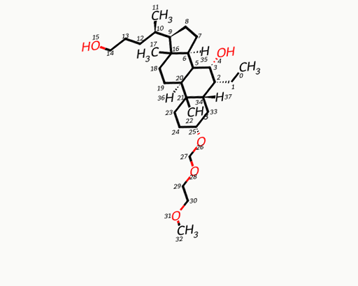 CC[C@H]1[C@@H](O)C2[C@@H]3CC[C@H]([C@H](C)CCCO)C3(C)CC[C@@H]2C2(C)CC[C@@H](OCOCCOC)C[C@@H]12